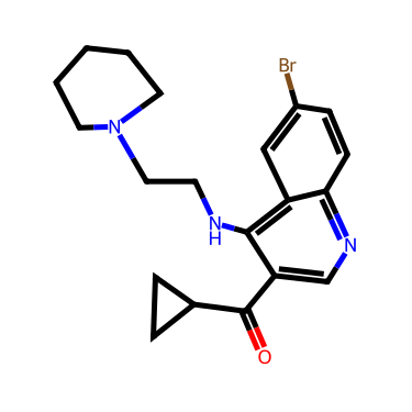 O=C(c1cnc2ccc(Br)cc2c1NCCN1CCCCC1)C1CC1